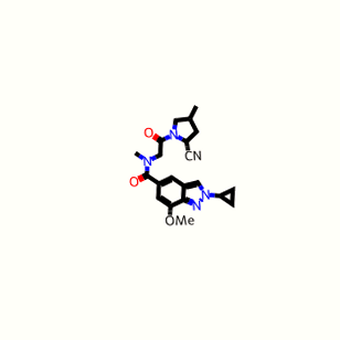 COc1cc(C(=O)N(C)CC(=O)N2CC(C)CC2C#N)cc2cn(C3CC3)nc12